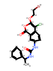 CC(NC(=O)Nc1ccc2c(Cl)c(OCCBr)oc(=O)c2c1)c1ccccc1